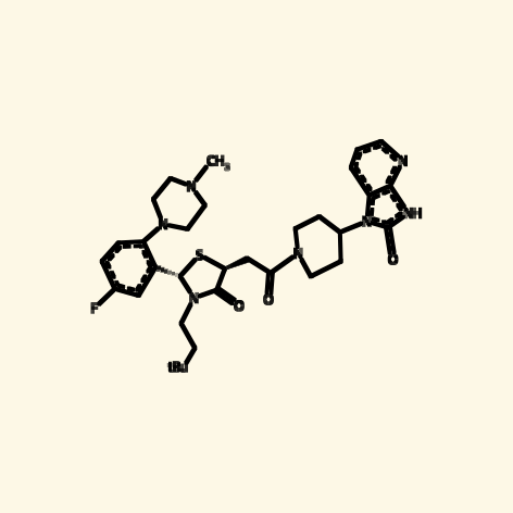 CN1CCN(c2ccc(F)cc2[C@@H]2S[C@@H](CC(=O)N3CCC(n4c(=O)[nH]c5ncccc54)CC3)C(=O)N2CCC(C)(C)C)CC1